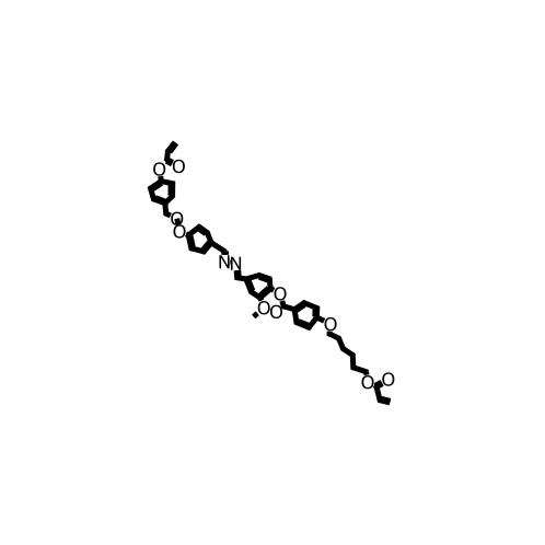 C=CC(=O)OCCCCCCOc1ccc(C(=O)Oc2ccc(/C=N/N=C/c3ccc(OOCc4ccc(OC(=O)C=C)cc4)cc3)cc2OC)cc1